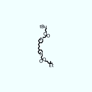 CCC(C)(C)CCCOC(=O)CCN1CCC(CCCC2CCN(CCC(=O)OCCCC(C)(C)C)CC2)CC1